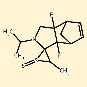 CC(C)N1CC2(F)C3C=CC(C3)C2(F)C12C(C)S2=S